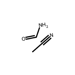 CC#N.NC=O